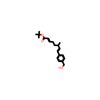 CC(C=Cc1ccc(CO)cc1)CCC=CC(=O)OC(C)(C)C